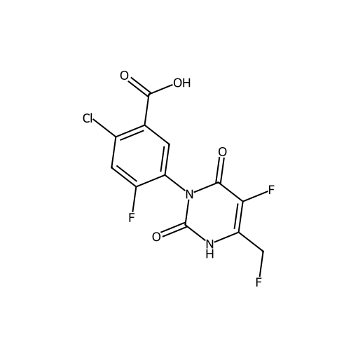 O=C(O)c1cc(-n2c(=O)[nH]c(CF)c(F)c2=O)c(F)cc1Cl